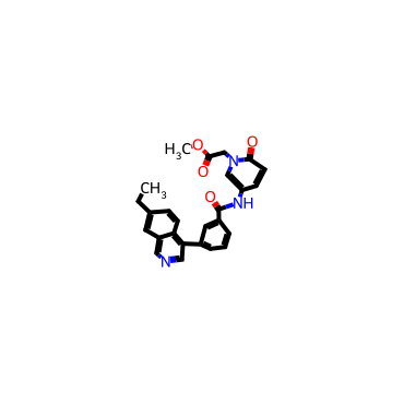 CCc1ccc2c(-c3cccc(C(=O)Nc4ccc(=O)n(CC(=O)OC)c4)c3)cncc2c1